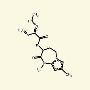 C=N/C(=N\NC)C(=O)NC1CCn2nc(C)cc2N(C)C1=O